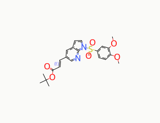 COc1ccc(S(=O)(=O)n2ccc3cc(/C=C/C(=O)OC(C)(C)C)cnc32)cc1OC